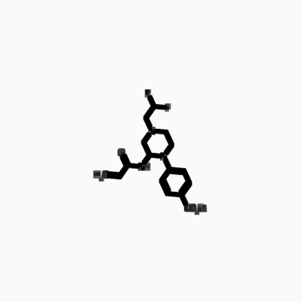 C=CC(=O)NC1CN(CC(F)F)CCN1c1ccc(C(=O)OCC)cc1